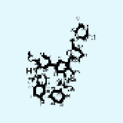 COc1ncc(-c2cc(C3=NCC=C(CN4C[C@@H](C)O[C@@H](C)C4)O3)c3cnn(S(=O)(=O)c4ccccc4)c3c2)cc1NS(=O)(=O)c1ccc(F)cc1F